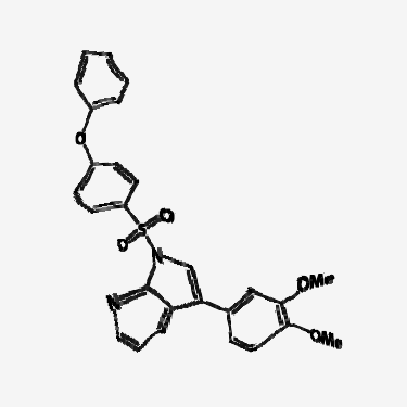 COc1ccc(-c2cn(S(=O)(=O)c3ccc(Oc4ccccc4)cc3)c3ncccc23)cc1OC